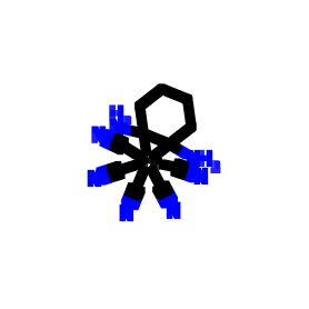 N#[C][Fe]1([C]#N)([C]#N)([C]#N)([C]#N)[C]2(N)CCCC[C]21N